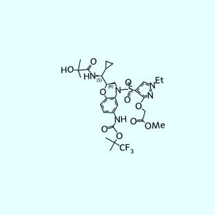 CCn1cc(S(=O)(=O)N2C[C@H]([C@@H](NC(=O)C(C)(C)O)C3CC3)Oc3ccc(NC(=O)OC(C)(C)C(F)(F)F)cc32)c(OCC(=O)OC)n1